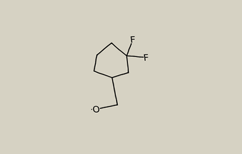 [O]CC1CCCC(F)(F)C1